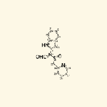 O=CN(c1nc2ccccc2[nH]1)[S+]([O-])Cc1ccccn1